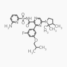 CC(C)COc1cc(F)cc(-c2nc(N3CCC(C)C3(C)C)cnc2C(=O)NS(=O)(=O)c2cccc(N)n2)c1